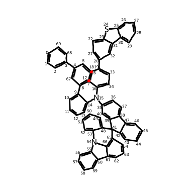 c1ccc(-c2cccc(-c3ccccc3N(c3ccc(-c4ccc5sc6ccccc6c5c4)cc3)c3ccc4c(c3)C3(c5ccccc5-4)c4ccccc4-n4c5ccccc5c5cccc3c54)c2)cc1